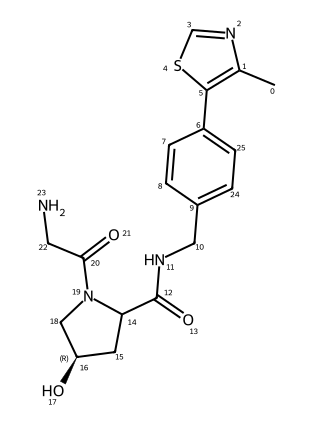 Cc1ncsc1-c1ccc(CNC(=O)C2C[C@@H](O)CN2C(=O)CN)cc1